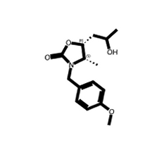 COc1ccc(CN2C(=O)O[C@H](CC(C)O)[C@@H]2C)cc1